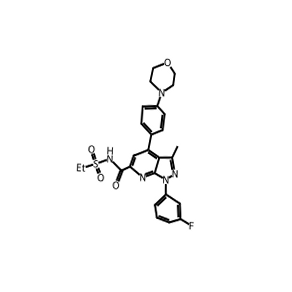 CCS(=O)(=O)NC(=O)c1cc(-c2ccc(N3CCOCC3)cc2)c2c(C)nn(-c3cccc(F)c3)c2n1